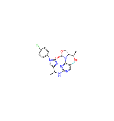 C[C@H](Nc1ncc(F)c(N2C(=O)OC[C@@H]2[C@@H](C)O)n1)c1cn(-c2ccc(Cl)cc2)cn1